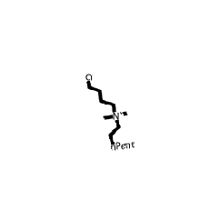 CCCCCCC[N+](C)(C)CCCCCl